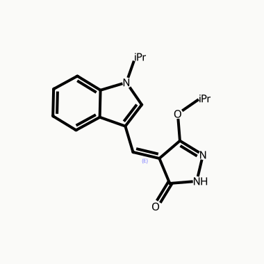 CC(C)OC1=NNC(=O)/C1=C/c1cn(C(C)C)c2ccccc12